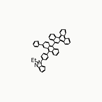 CCc1nc2ccccc2n1-c1ccc(-c2c3ccccc3c(-c3cc4c5ccccc5c5ccccc5c4c4ccccc34)c3ccc(-c4ccccc4)cc23)cc1